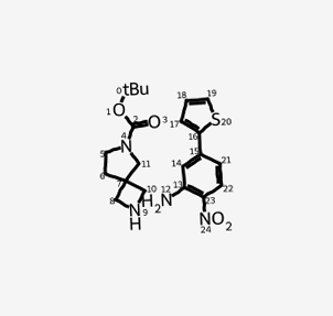 CC(C)(C)OC(=O)N1CCC2(CNC2)C1.Nc1cc(-c2cccs2)ccc1[N+](=O)[O-]